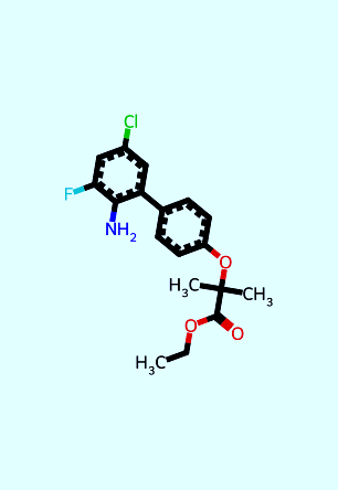 CCOC(=O)C(C)(C)Oc1ccc(-c2cc(Cl)cc(F)c2N)cc1